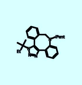 CCCC(C)N1Cc2ccccc2-c2c(nnn2C(C)(C)CC)-c2ccccc21